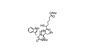 CNC(=O)[C@H](Cc1c[nH]c2ccccc12)NC(=O)C(CC(C)C)NC(=O)C(S)CCCCC(=O)OC